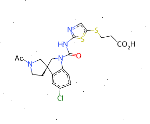 CC(=O)N1CC[C@@]2(C1)CN(C(=O)Nc1ncc(SCCC(=O)O)s1)c1ccc(Cl)cc12